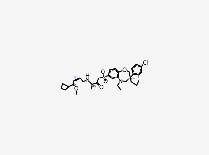 CCN1C[C@@]2(CCCc3cc(Cl)ccc32)COc2ccc(S(=O)(=O)CC(=O)[C@@H](C)NC/C=C\[C@@H](OC)C3CCC3)cc21